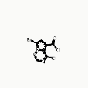 O=C(Cl)c1cc(Br)n2ncnc(Cl)c12